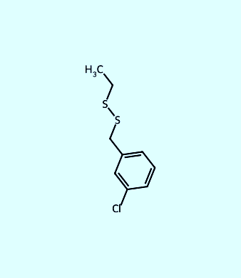 CCSSCc1cccc(Cl)c1